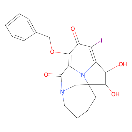 O=C1c2c(OCc3ccccc3)c(=O)c(I)c3n2C2(CCCCN1C2)C(O)C3O